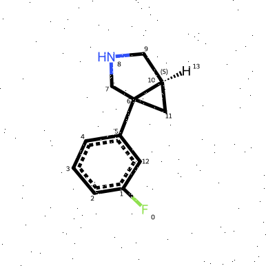 Fc1cccc(C23CNC[C@H]2C3)c1